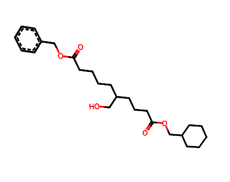 O=C(CCCCC(CO)CCCC(=O)OCC1CCCCC1)OCc1ccccc1